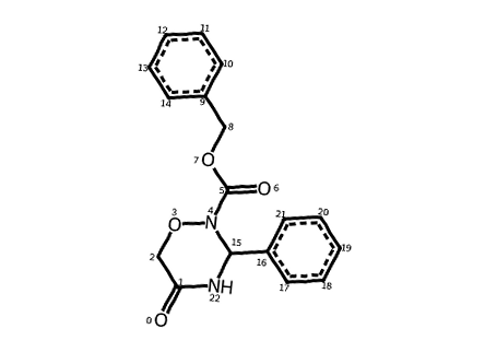 O=C1CON(C(=O)OCc2ccccc2)C(c2ccccc2)N1